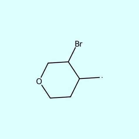 [CH2]C1CCOCC1Br